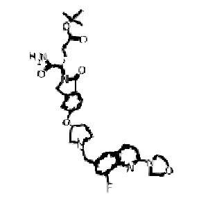 CC(C)(C)OC(=O)CC[C@@H](C(N)=O)N1Cc2cc(O[C@H]3CCN(Cc4cc(F)c5nc(N6CCOCC6)ccc5c4)C3)ccc2C1=O